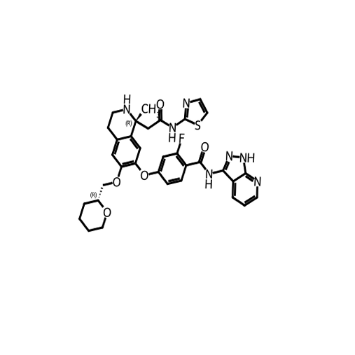 C[C@]1(CC(=O)Nc2nccs2)NCCc2cc(OC[C@H]3CCCCO3)c(Oc3ccc(C(=O)Nc4n[nH]c5ncccc45)c(F)c3)cc21